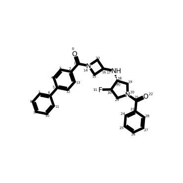 O=C(c1ccc(-c2ccccc2)cc1)N1CC(N[C@@H]2CN(C(=O)c3ccccc3)CC2F)C1